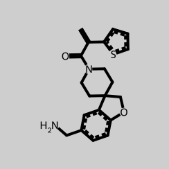 C=C(C(=O)N1CCC2(CC1)COc1ccc(CN)cc12)c1cccs1